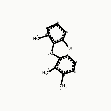 Cc1cccc(Oc2c(O)cccc2O)c1C